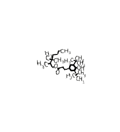 CCCCC(C)(C)C(C)COC(=O)CCc1cc(C(C)(C)C)c(O)c(C(C)(C)C)c1